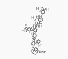 CCOc1nc2[nH]cc(F)c2cc1Oc1cc(N2CCC3(CC2)CC(N2CCN(Cc4ccc(OC)c5c4OCCO5)C[C@H]2c2ccccc2C(C)C)C3)ccc1C(=O)NC(=O)C(=O)c1cnc(NC[C@H]2CC[C@](C)(O)CC2)c(N)c1